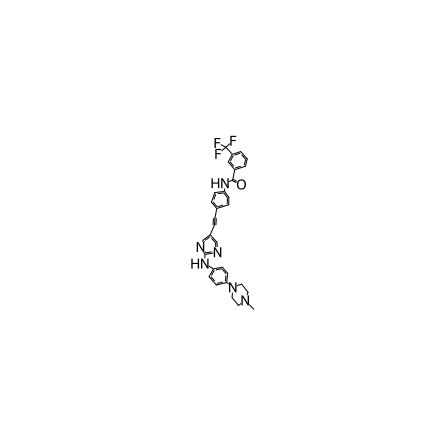 CN1CCN(c2ccc(Nc3ncc(C#Cc4ccc(NC(=O)c5cccc(C(F)(F)F)c5)cc4)cn3)cc2)CC1